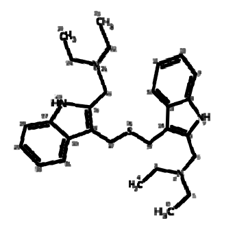 CCN(CC)Cc1[nH]c2ccccc2c1CSCc1c(CN(CC)CC)[nH]c2ccccc12